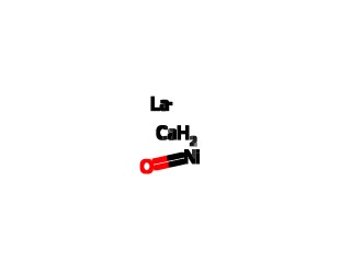 [CaH2].[La].[O]=[Ni]